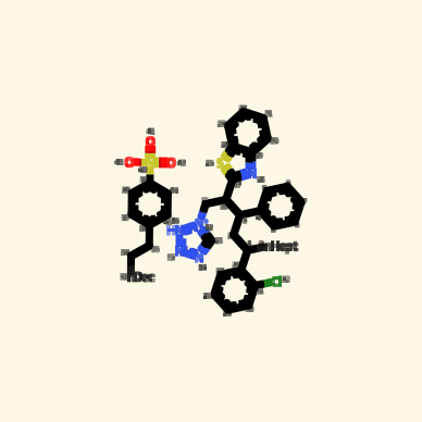 CCCCCCCC(CC(c1ccccc1)C(C[n+]1cnn[nH]1)c1nc2ccccc2s1)c1ccccc1Cl.CCCCCCCCCCCCc1ccc(S(=O)(=O)[O-])cc1